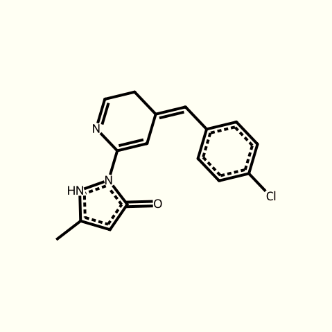 Cc1cc(=O)n(C2=CC(=Cc3ccc(Cl)cc3)CC=N2)[nH]1